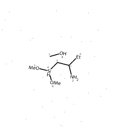 CCC(N)C[SiH](OC)OC.CO